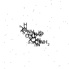 CC1=CSC(NC(=O)c2nn(C3COC3)c3c2C(C)(C)Cc2cnc(N)nc2-3)N1